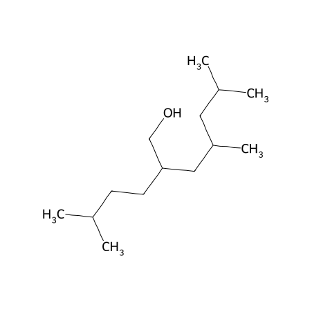 CC(C)CCC(CO)CC(C)CC(C)C